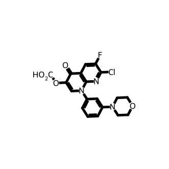 O=C(O)Oc1cn(-c2cccc(N3CCOCC3)c2)c2nc(Cl)c(F)cc2c1=O